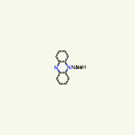 [NaH].[NaH].c1ccc2nc3ccccc3nc2c1